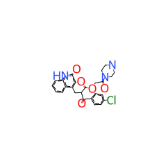 CN1CCN(C(=O)COC(=O)C(Cc2cc(=O)[nH]c3ccccc23)C(=O)c2ccc(Cl)cc2)CC1